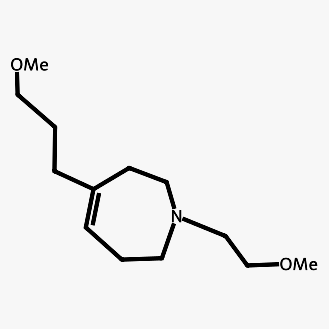 COCCCC1=CCCN(CCOC)CC1